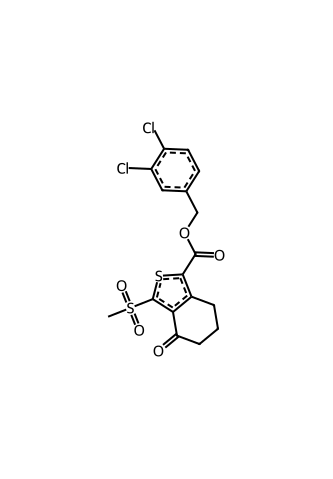 CS(=O)(=O)c1sc(C(=O)OCc2ccc(Cl)c(Cl)c2)c2c1C(=O)CCC2